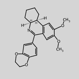 COc1cc2c(cc1OC)[C@@H]1CCCC[C@@H]1N=C2c1ccc2c(c1)OCCO2